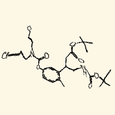 Cc1ccc(OC(=O)N(CCCl)CCCl)cc1C(CNC(=O)OC(C)(C)C)CC(=O)OC(C)(C)C